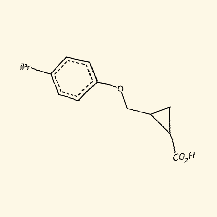 CC(C)c1ccc(OCC2CC2C(=O)O)cc1